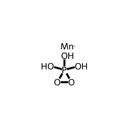 OP1(O)(O)OO1.[Mn]